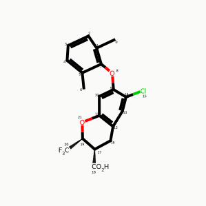 Cc1cccc(C)c1Oc1cc2c(cc1Cl)C[C@@H](C(=O)O)[C@@H](C(F)(F)F)O2